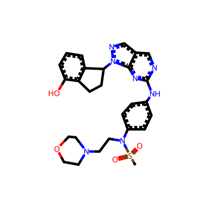 CS(=O)(=O)N(CCN1CCOCC1)c1ccc(Nc2ncc3cnn(C4CCc5c(O)cccc54)c3n2)cc1